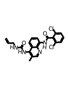 C=CCNC(=O)Nc1c(C)cnc2c(NC(=O)c3c(Cl)cccc3Cl)cccc12